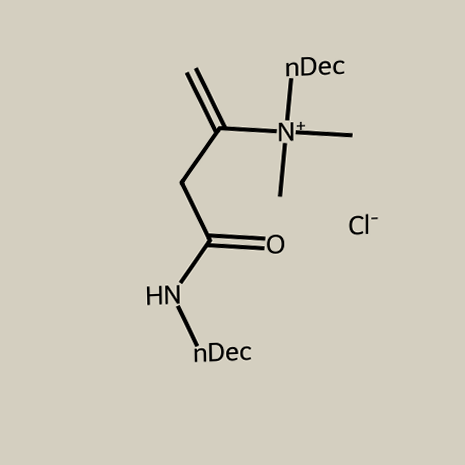 C=C(CC(=O)NCCCCCCCCCC)[N+](C)(C)CCCCCCCCCC.[Cl-]